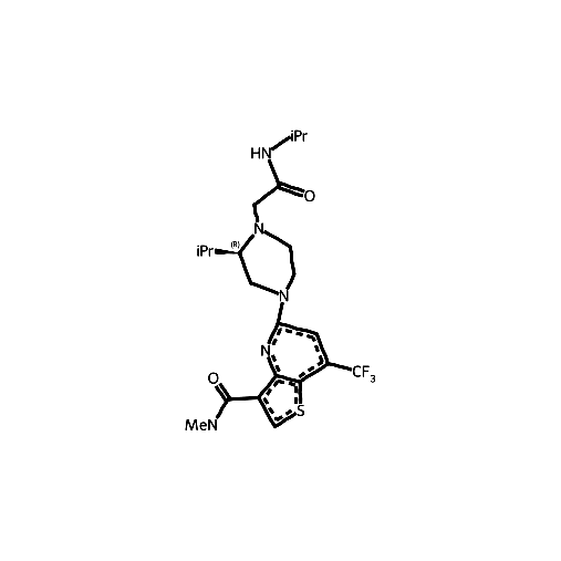 CNC(=O)c1csc2c(C(F)(F)F)cc(N3CCN(CC(=O)NC(C)C)[C@H](C(C)C)C3)nc12